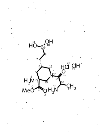 COC(=O)[C@@]1(N)C[C@H](CCB(O)O)CN(C(=O)C(C)N)C1.Cl.Cl